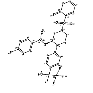 CC(O)(c1ccc(N2CCN(S(=O)(=O)C3=CC=CCC3=S)C[C@@H]2C[S@@+]([O-])c2ccc(F)cc2)cc1)C(F)(F)F